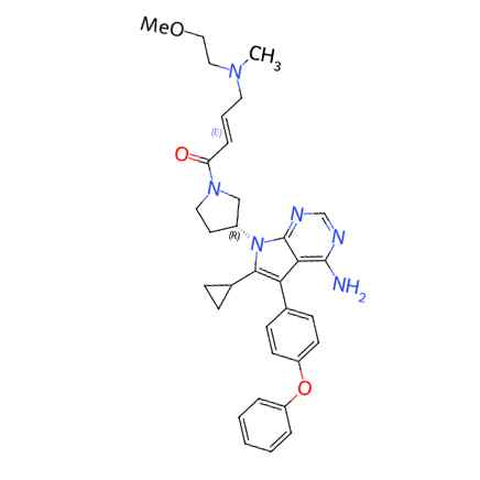 COCCN(C)C/C=C/C(=O)N1CC[C@@H](n2c(C3CC3)c(-c3ccc(Oc4ccccc4)cc3)c3c(N)ncnc32)C1